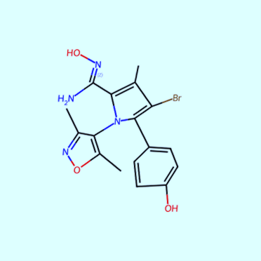 Cc1noc(C)c1-n1c(/C(N)=N/O)c(C)c(Br)c1-c1ccc(O)cc1